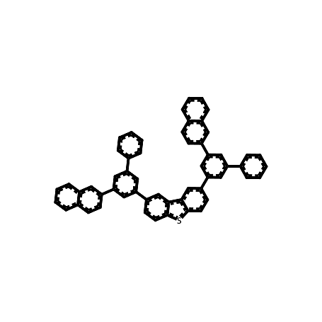 c1ccc(-c2cc(-c3ccc4ccccc4c3)cc(-c3ccc4sc5ccc(-c6cc(-c7ccccc7)cc(-c7ccc8ccccc8c7)c6)cc5c4c3)c2)cc1